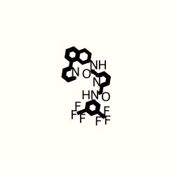 O=C(Nc1cc(C(F)(F)F)cc(C(F)(F)F)c1)c1cccc(C(=O)NC2CCc3cccc(-c4ccccn4)c3C2)n1